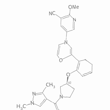 COc1ncc(N2C=COC(C3=C(O[C@H]4CCN(C(=O)c5cn(C)nc5C)C4)C=CCC3)=C2)cc1C#N